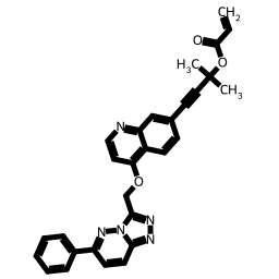 C=CC(=O)OC(C)(C)C#Cc1ccc2c(OCc3nnc4ccc(-c5ccccc5)nn34)ccnc2c1